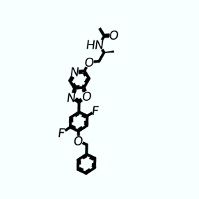 CC(=O)N[C@@H](C)COc1cc2oc(-c3cc(F)c(OCc4ccccc4)cc3F)nc2cn1